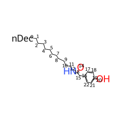 CCCCCCCCCCCCCCCCCCCCCNC(=O)Cc1ccc(O)cc1